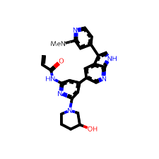 C=CC(=O)Nc1cc(-c2cnc3[nH]cc(-c4ccnc(NC)c4)c3c2)cc(N2CCCC(O)C2)n1